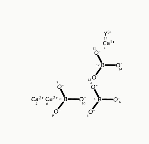 [Ca+2].[Ca+2].[Ca+2].[O-]B([O-])[O-].[O-]B([O-])[O-].[O-]B([O-])[O-].[Y+3]